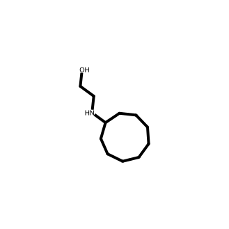 OCCNC1CCCCCCCC1